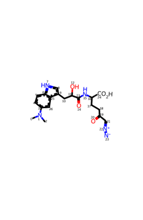 CN(C)c1ccc2[nH]cc(CC(O)C(=O)NC(CCC(=O)C=[N+]=[N-])C(=O)O)c2c1